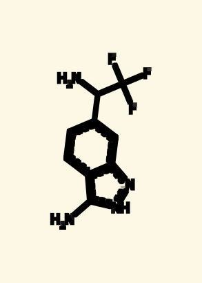 Nc1[nH]nc2cc(C(N)C(F)(F)F)ccc12